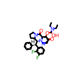 CCN(CC)C(O)Oc1c2n(ncc1=O)[C@@H]([C@H](c1ccccc1)c1cccc(F)c1F)[C@H]1CCCN1C2=O